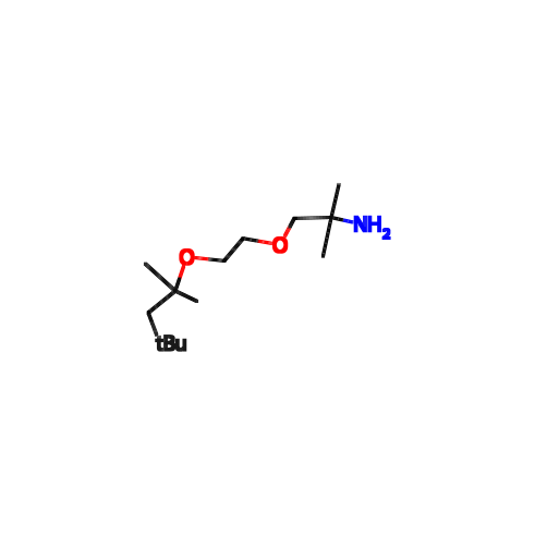 CC(C)(C)CC(C)(C)OCCOCC(C)(C)N